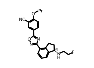 CC(C)Oc1ccc(-c2nc(-c3cccc4c3CC[C@@H]4NCCF)no2)cc1C#N